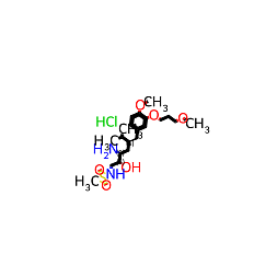 COCCCOc1cc(C[C@@H](C[C@H](N)[C@@H](O)CNS(C)(=O)=O)C(C)C)ccc1OC.Cl